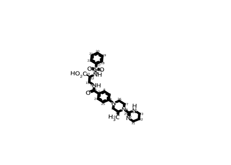 CC1CN(c2ccc(C(=O)NC[C@H](NS(=O)(=O)c3ccccc3)C(=O)O)cc2)CCN1C1=NCCCN1